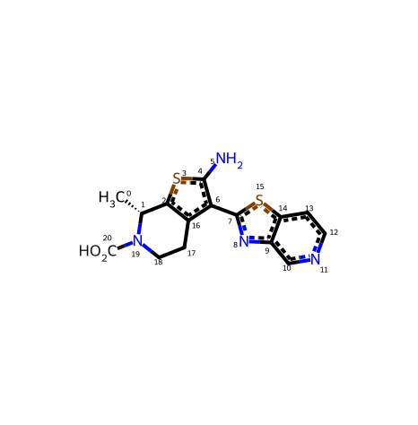 C[C@@H]1c2sc(N)c(-c3nc4cnccc4s3)c2CCN1C(=O)O